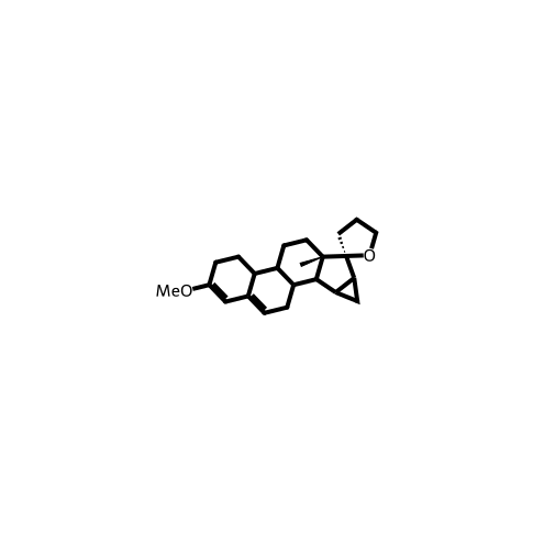 COC1=CC2=CCC3C(CC[C@@]4(C)C3C3CC3[C@@]43CCCO3)C2CC1